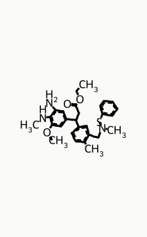 CCOC(=O)CC(c1ccc(C)c(CN(C)Sc2ccccc2)c1)c1cc(N)c(NC)c(OC)c1